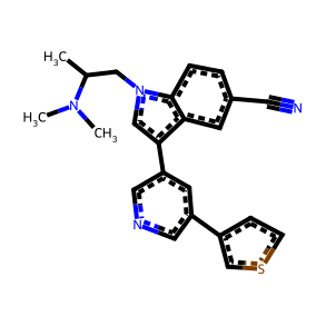 CC(Cn1cc(-c2cncc(-c3ccsc3)c2)c2cc(C#N)ccc21)N(C)C